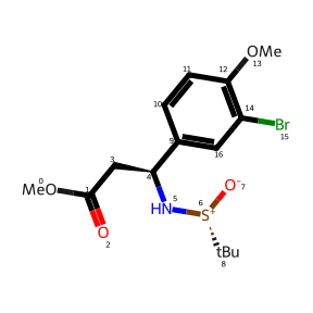 COC(=O)C[C@H](N[S@+]([O-])C(C)(C)C)c1ccc(OC)c(Br)c1